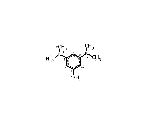 Bc1cc(N(C)C)cc(N(C)C)c1